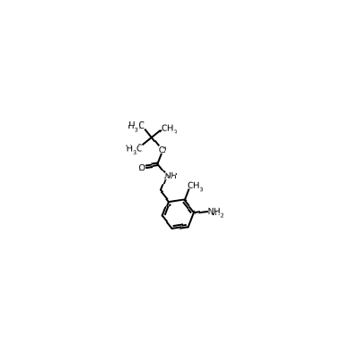 Cc1c(N)cccc1CNC(=O)OC(C)(C)C